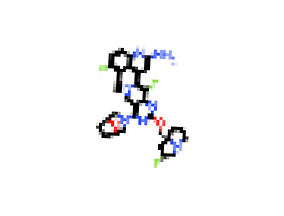 C#Cc1c(F)ccc2nc(N)cc(-c3ncc4c(N5CC6CCC(C5)O6)nc(OC[C@@]56CCCN5C[C@H](F)C6)nc4c3F)c12